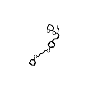 IC[C@H](/C=C\Cc1ccc(OCCCCOc2ccccc2)cc1)OC1CCCCO1